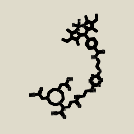 CCC1=C(C)C2=C(c3ccc(C(=O)NCCSc4nnc(NCCNC(=O)CC[C@@H](C(=O)O)N5CCN(CC(=O)O)CCN(CC(=O)O)CC5)nn4)cc3)c3c(C)c(CC)c(C)n3[B-](F)(F)[N+]2=C1C